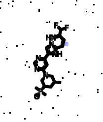 CC1CC(P(C)(C)=O)CN(c2cc(-c3cnc(/C=C\C(=N)C(F)F)[nH]3)ncn2)C1